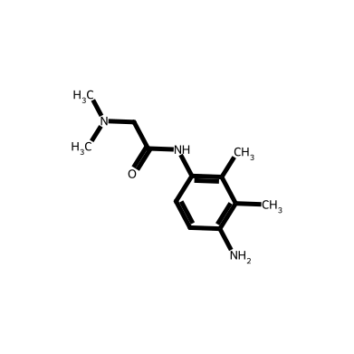 Cc1c(N)ccc(NC(=O)CN(C)C)c1C